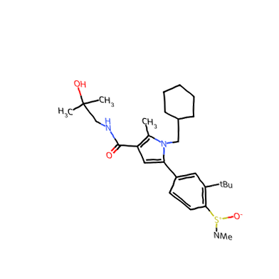 CN[S+]([O-])c1ccc(-c2cc(C(=O)NCC(C)(C)O)c(C)n2CC2CCCCC2)cc1C(C)(C)C